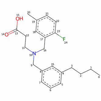 CCCCc1cccc(CN(CCC(=O)O)Cc2cc(C)ccc2F)c1